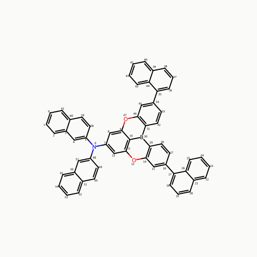 c1ccc2cc(N(c3cc4c5c(c3)Oc3cc(-c6cccc7ccccc67)ccc3B5c3ccc(-c5cccc6ccccc56)cc3O4)c3ccc4ccccc4c3)ccc2c1